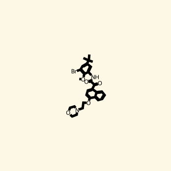 COc1c(Br)cc(C(C)(C)C)cc1NC(=O)C(=O)c1ccc(OCCN2CCOCC2)c2ccccc12